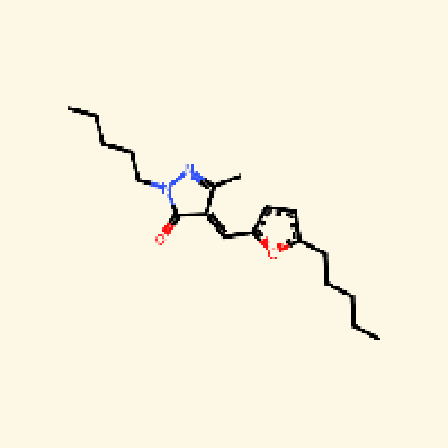 CCCCCc1ccc(C=C2C(=O)N(CCCCC)N=C2C)o1